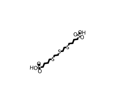 O=S(=O)(O)CCCCSCCSCCSCCCCS(=O)(=O)O